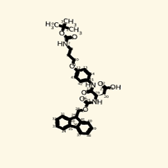 CC(C)(C)OC(=O)NCCCOc1ccc(NC(=O)[C@H](CC(=O)O)NC(=O)OCC2c3ccccc3-c3ccccc32)cc1